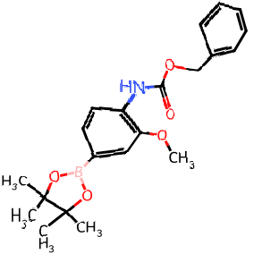 COc1cc(B2OC(C)(C)C(C)(C)O2)ccc1NC(=O)OCc1ccccc1